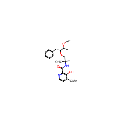 CCCO[C@@H](C)[C@@H](Cc1ccccc1)OC[C@@](C)(C=O)NC(=O)c1nccc(OC)c1O